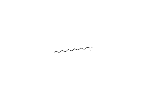 CN(C)CCCCCCCCCCCC=O